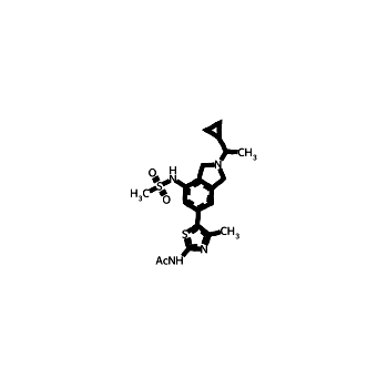 CC(=O)Nc1nc(C)c(-c2cc3c(c(NS(C)(=O)=O)c2)CN(C(C)C2CC2)C3)s1